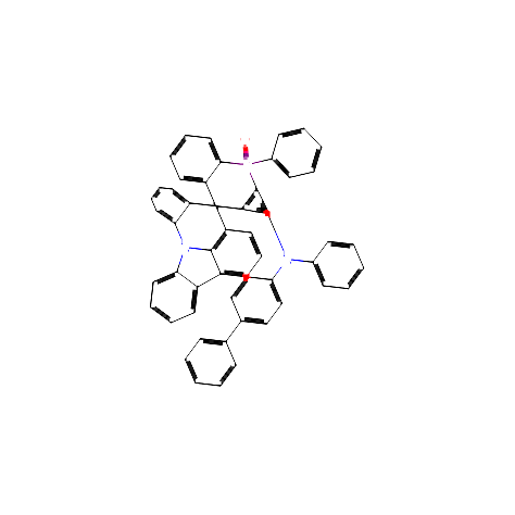 O=P1(c2ccccc2)c2ccccc2C2(c3ccccc3-n3c4ccccc4c4cccc2c43)c2cc(N(c3ccccc3)c3ccc(-c4ccccc4)cc3)ccc21